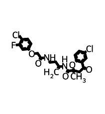 C=C(CCNC(=O)COc1ccc(Cl)c(F)c1)NC(=O)C1(C)CC(=O)c2cc(Cl)ccc2O1